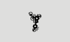 COCNC(=O)c1cc(OC)cc2cc(-c3ccc(OC)c(F)c3)oc12